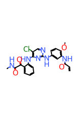 C=CC(=O)Nc1cc(Nc2ncc(Cl)c(Nc3ccccc3C(=O)C(=O)NC)n2)ccc1OC